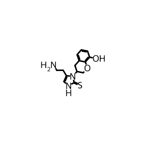 NCCc1c[nH]c(=S)n1C1COc2c(O)cccc2C1